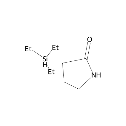 CC[SiH](CC)CC.O=C1CCCN1